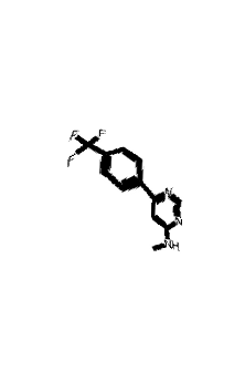 CNc1cc(-c2ccc(C(F)(F)F)cc2)ncn1